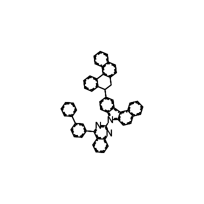 c1ccc(-c2cccc(-c3nc(-n4c5ccc(C6Cc7ccc8ccccc8c7-c7ccccc76)cc5c5c6ccccc6ccc54)nc4ccccc34)c2)cc1